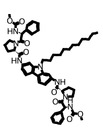 CCCCCCCCCCCCn1c2cc(NC(=O)[C@@H]3CCCN3C(=O)[C@H](NC(=O)OC)c3ccccc3)ccc2c2ccc(NC(=O)[C@@H]3CCCN3C(=O)[C@H](NC(=O)OC)c3ccccc3)cc21